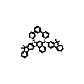 CC1(C)c2ccccc2-c2ccc(N(c3cccc(-c4ccccc4)c3)c3cc4c(c5ccccc35)c3cc5c(cc3n4-c3ccccc3)C(C)(C)c3ccccc3-5)cc21